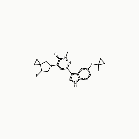 Cn1nc(-c2n[nH]c3ccc(OC4(C)CC4)cc23)cc(N2CC(F)C3(CC3)C2)c1=O